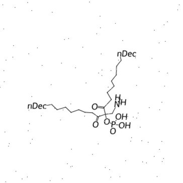 [2H]NCC(OP(=O)(O)O)(C(=O)CCCCCCCCCCCCCCCCC)C(=O)CCCCCCCCCCCCCCCCC